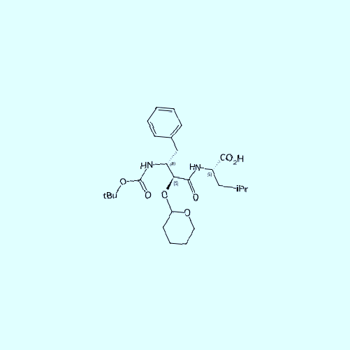 CC(C)C[C@H](NC(=O)[C@@H](OC1CCCCO1)[C@@H](Cc1ccccc1)NC(=O)OC(C)(C)C)C(=O)O